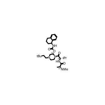 CN[C@@H](C)C(=O)N[C@H](C(=O)N1CCN(CCC(C)(C)C)C[C@@H]1OC(=O)NC1CCCc2ccccc21)C(C)C